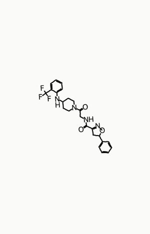 O=C(NCC(=O)N1CCC(Nc2ccccc2C(F)(F)F)CC1)C1=NOC(c2ccccc2)C1